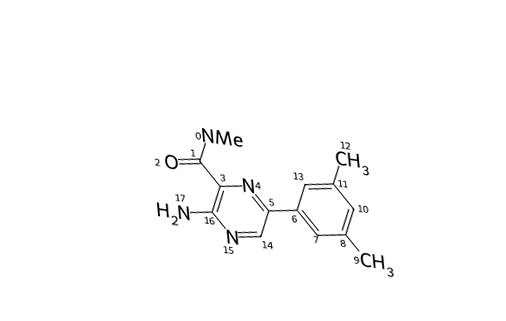 CNC(=O)c1nc(-c2cc(C)cc(C)c2)cnc1N